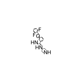 N=C/C(=C\NC1CCNCC1)c1cccc(OCc2c(F)cccc2F)c1